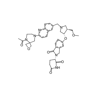 COC[C@@H]1CN(Cc2ccc3nc(N4CCN(C(C)=O)C5(COC5)C4)ccc3c2)C[C@H]1Oc1ccc2c(c1)CN([C@H]1CCC(=O)NC1=O)C2=O